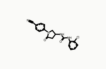 N#Cc1ccc(N2CC(NC(=O)Nc3ccccc3Cl)CC2=O)cc1